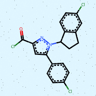 O=C(Cl)c1cc(-c2ccc(Cl)cc2)n(C2CCc3cc(Cl)ccc32)n1